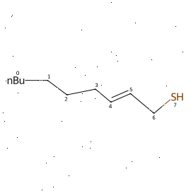 CCCCCCCC=CCS